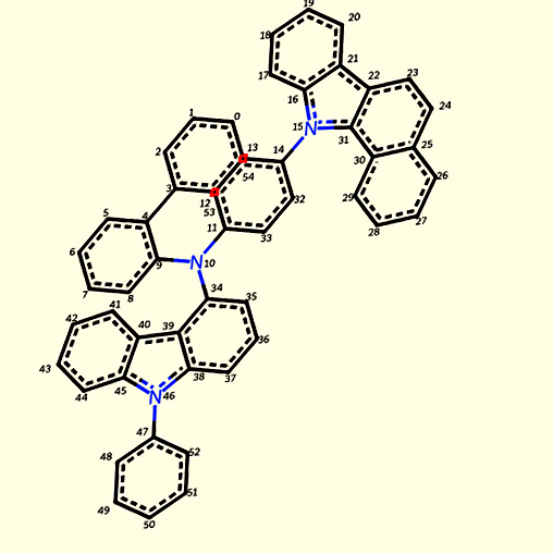 c1ccc(-c2ccccc2N(c2ccc(-n3c4ccccc4c4ccc5ccccc5c43)cc2)c2cccc3c2c2ccccc2n3-c2ccccc2)cc1